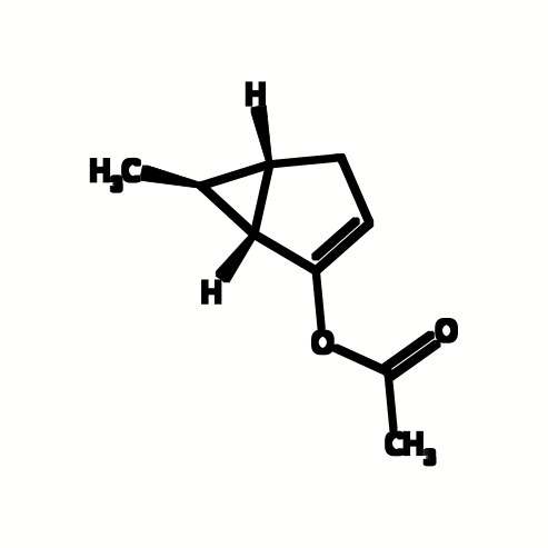 CC(=O)OC1=CC[C@H]2[C@H](C)[C@@H]12